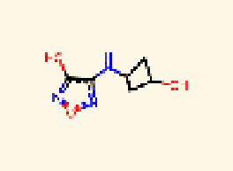 Oc1nonc1NC1CC(O)C1